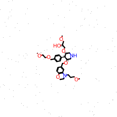 COCCCN1CCOc2ccc(CO[C@H]3CNC[C@@H](OC[C@@H](O)COC)[C@@H]3c3ccc(COCCOC)cc3)cc21